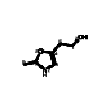 CC1NC=C(CCO)O1